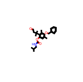 Cc1cc(OC(=O)NCC(C)C)c(C(C)(C)CC=O)c(C)c1OCc1ccccc1